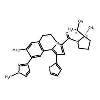 COc1cc2c(cc1-c1ccn(C)n1)-c1c(-c3cccs3)cc(C(=O)N3CCC[C@]3(C)[C@@H](C)O)n1CC2